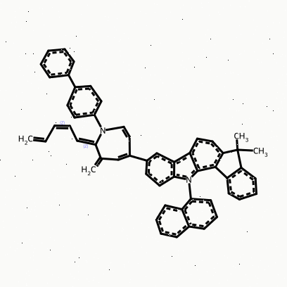 C=C/C=C\C=C1\C(=C)C=C(c2ccc3c(c2)c2ccc4c(c2n3-c2cccc3ccccc23)-c2ccccc2C4(C)C)C=CN1c1ccc(-c2ccccc2)cc1